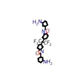 Nc1cccc(-c2nc3cc(C(c4ccc5oc(-c6cccc(N)c6)nc5c4)(C(F)(F)F)C(F)(F)F)ccc3o2)c1